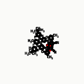 Cc1cc2c3c(c1)Sc1c(oc4ccc(C#N)cc14)B3c1cc3c(cc1O2)N(c1c(F)cc(C(C)(C)C)cc1F)c1cc(C)cc2c1B3c1cc3c(cc1N2c1c(F)cc(C(C)(C)C)cc1F)Oc1cc(C)cc2c1B3c1oc3ccc(C#N)cc3c1S2